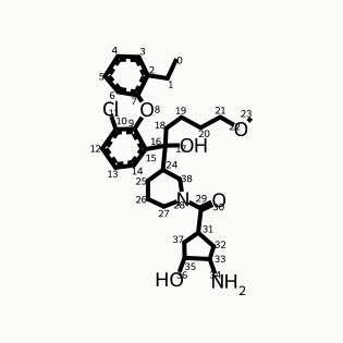 CCc1ccccc1Oc1c(Cl)cccc1C(O)(CCCCOC)C1CCCN(C(=O)C2CC(N)C(O)C2)C1